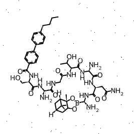 CCCCc1ccc(-c2ccc(C(=O)N[C@H](CO)C(=O)N[C@H](N)C(=O)NCC(=O)N[C@H](C(=O)N[C@@H](N)C(=O)N[C@@H](CC(N)=O)C(=O)N[C@@H](N)B3OC4C[C@@H]5C[C@@H](C5(C)C)[C@]4(C)O3)C(C)O)cc2)cc1